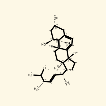 CC(C)[C@@H](C)/C=C/[C@@H](C)[C@H]1CC[C@H]2C3=CC=C4C[C@@H](O)C[C@H](O)[C@]4(C)[C@H]3CC[C@]12C